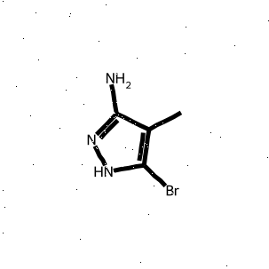 Cc1c(N)n[nH]c1Br